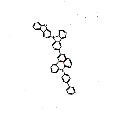 c1ccc(N(c2ccc(-c3cccnc3)cc2)c2ccccc2-c2cccc(-c3ccc4c(c3)c3ccccc3n4-c3ccc4c(c3)oc3ccccc34)c2)cc1